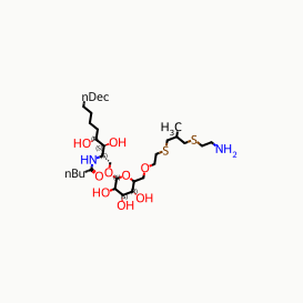 CCCCCCCCCCCCCC[C@@H](O)[C@@H](O)[C@H](CO[C@H]1OC(COCCSCC(C)CSCCN)[C@H](O)[C@H](O)C1O)NC(=O)CCCC